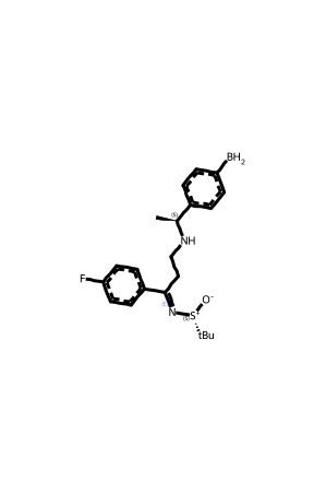 Bc1ccc([C@H](C)NCC/C(=N\[S@+]([O-])C(C)(C)C)c2ccc(F)cc2)cc1